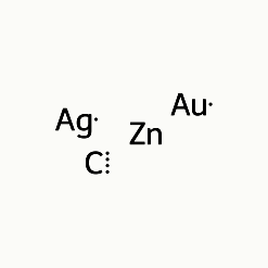 [Ag].[Au].[C].[Zn]